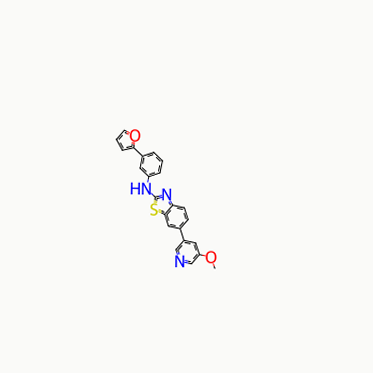 COc1cncc(-c2ccc3nc(Nc4cccc(-c5ccco5)c4)sc3c2)c1